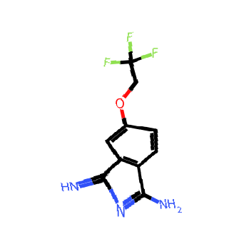 N=C1N=C(N)c2ccc(OCC(F)(F)F)cc21